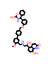 COc1ccc(-c2ccc(COc3cccc(C(NC(=O)O)c4ccccc4)c3)cc2)cc1CNCC(O)c1ccc(O)c2[nH]c(=O)ccc12